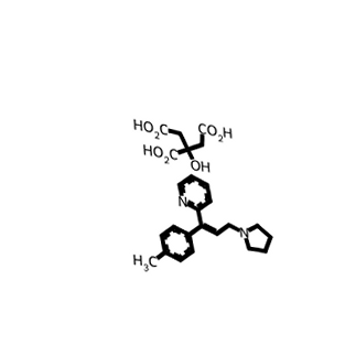 Cc1ccc(C(=CCN2CCCC2)c2ccccn2)cc1.O=C(O)CC(O)(CC(=O)O)C(=O)O